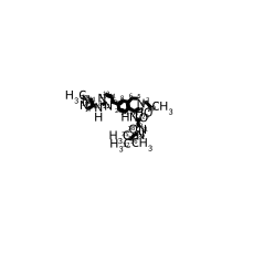 C[C@H](O)CN1CCc2cc(-c3ccnc(Nc4cnn(C)c4)n3)ccc2C(NC(=O)c2nnc(C(C)(C)C)o2)C1